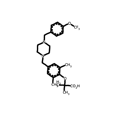 Cc1cc(CN2CCN(Cc3ccc(OC(F)(F)F)cc3)CC2)cc(C)c1OC(C)(C)C(=O)O